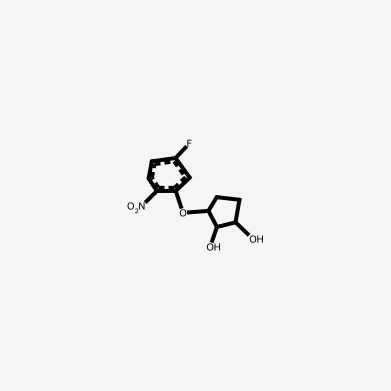 O=[N+]([O-])c1ccc(F)cc1OC1CCC(O)C1O